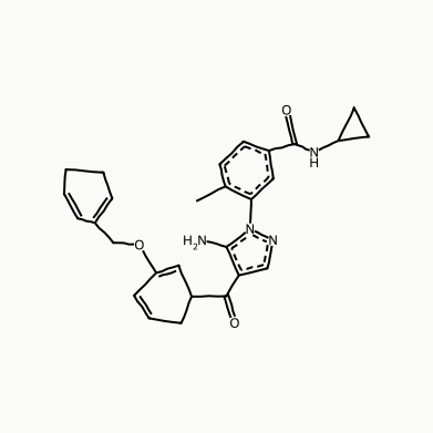 Cc1ccc(C(=O)NC2CC2)cc1-n1ncc(C(=O)C2C=C(OCC3=CCCC=C3)C=CC2)c1N